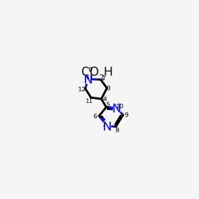 O=C(O)N1CCC(c2cnccn2)CC1